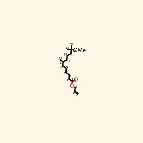 C=CCOC(=O)/C=C/C=C/CC(C)CCCC(C)(C)OC